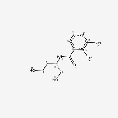 O=C(N[C@H](CO)CCO)c1cccc(O)c1O